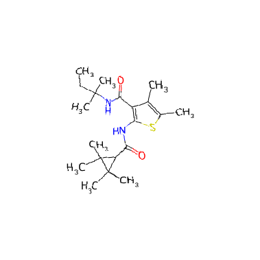 CCC(C)(C)NC(=O)c1c(NC(=O)C2C(C)(C)C2(C)C)sc(C)c1C